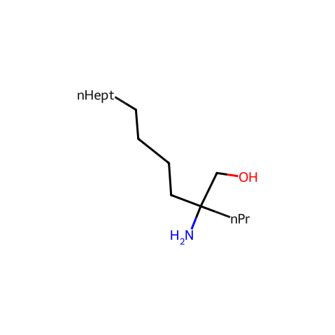 CCCCCCCCCCCC(N)(CO)CCC